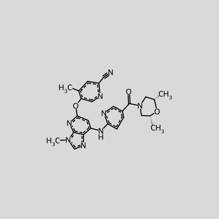 Cc1cc(C#N)ncc1Oc1cc(Nc2ccc(C(=O)N3C[C@@H](C)O[C@@H](C)C3)cn2)c2ncn(C)c2n1